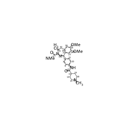 CNC(=O)N1N=C(c2ccc(NC(=O)C3CCN(C)CC3)cc2)c2cc(OC)c(OC)cc2C[C@H]1C